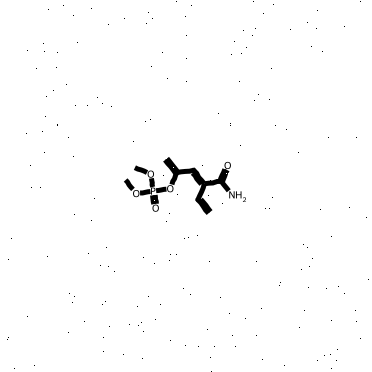 C=C/C(=C\C(=C)OP(=O)(OC)OC)C(N)=O